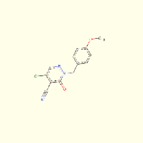 COc1ccc(Cn2ncc(Cl)c(C#N)c2=O)cc1